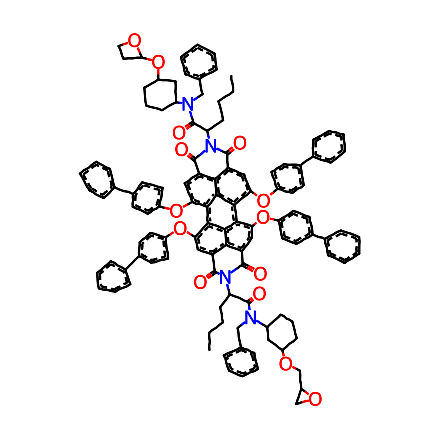 CCCCC(C(=O)N(Cc1ccccc1)C1CCCC(OCC2CO2)C1)N1C(=O)c2cc(Oc3ccc(-c4ccccc4)cc3)c3c4c(Oc5ccc(-c6ccccc6)cc5)cc5c6c(cc(Oc7ccc(-c8ccccc8)cc7)c(c7c(Oc8ccc(-c9ccccc9)cc8)cc(c2c37)C1=O)c64)C(=O)N(C(CCCC)C(=O)N(Cc1ccccc1)C1CCCC(OC2CCO2)C1)C5=O